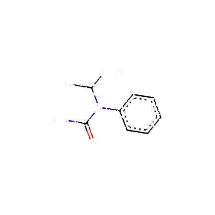 CCCC(C(=O)O)N(C(N)=O)c1ccccc1